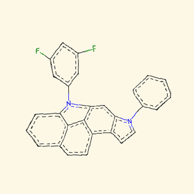 Fc1cc(F)cc(-n2c3cccc4ccc5c6ccn(-c7ccccc7)c6cc2c5c43)c1